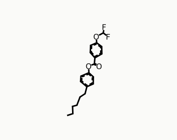 CCCCCCc1ccc(OC(=O)c2ccc(OC(F)F)cc2)cc1